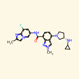 Cc1cn2cc(NC(=O)c3ccc(N4CC[C@H](NC5CC5)C4)c4cn(C)nc34)cc(F)c2n1